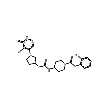 O=C(NC1CCN(C(=O)Cc2ccccc2Br)CC1)OC1CCN(c2cn[nH]c(=O)c2Cl)C1